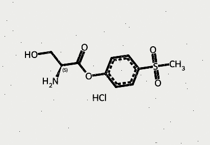 CS(=O)(=O)c1ccc(OC(=O)[C@@H](N)CO)cc1.Cl